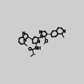 C[CH]C(=O)Nc1cc(-c2cnc3cccc(C)n23)cc(-n2ncc(-c3ccc4c(C)nccc4c3)c2OC)n1